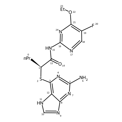 CCC[C@H](Sc1nc(N)nc2nc[nH]c12)C(=O)Nc1ncc(F)c(OCC)n1